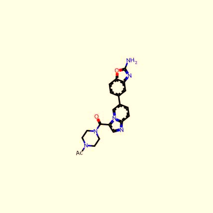 CC(=O)N1CCN(C(=O)c2cnc3ccc(-c4ccc5oc(N)nc5c4)cn23)CC1